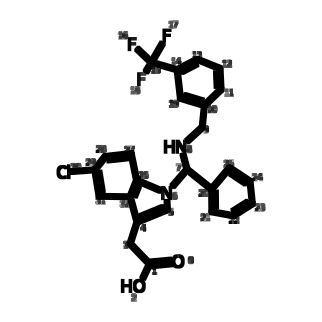 O=C(O)Cc1cn(C(NCc2cccc(C(F)(F)F)c2)c2ccccc2)c2ccc(Cl)cc12